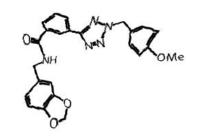 COc1ccc(Cn2nnc(-c3cccc(C(=O)NCc4ccc5c(c4)OCO5)c3)n2)cc1